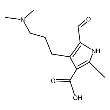 Cc1[nH]c(C=O)c(CCCN(C)C)c1C(=O)O